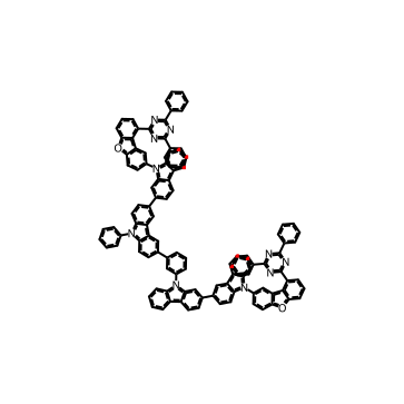 c1ccc(-c2nc(-c3ccccc3)nc(-c3cccc4oc5ccc(-n6c7ccccc7c7cc(-c8ccc9c%10ccccc%10n(-c%10cccc(-c%11ccc%12c(c%11)c%11cc(-c%13ccc%14c%15ccccc%15n(-c%15ccc%16oc%17cccc(-c%18nc(-c%19ccccc%19)nc(-c%19ccccc%19)n%18)c%17c%16c%15)c%14c%13)ccc%11n%12-c%11ccccc%11)c%10)c9c8)ccc76)cc5c34)n2)cc1